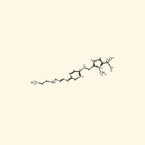 CCCNCC=CN=C1C=CC(OCc2ncc([N+](=O)[O-])n2C)=CC1